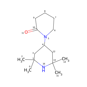 CC1(C)CC(N2CCCCC2=O)CC(C)(C)N1